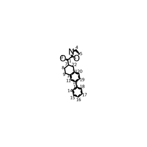 O=C(c1ncco1)C1CCc2cc(-c3ccccc3)ccc2C1